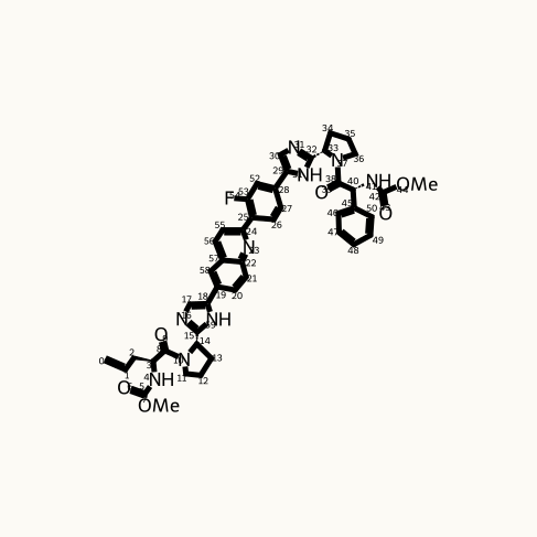 C=CC[C@H](NC(=O)OC)C(=O)N1CCC[C@H]1c1ncc(-c2ccc3nc(-c4ccc(-c5cnc([C@@H]6CCCN6C(=O)[C@H](NC(=O)OC)c6ccccc6)[nH]5)cc4F)ccc3c2)[nH]1